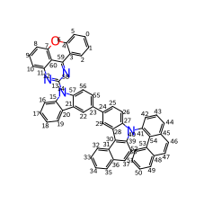 c1ccc2c(c1)Oc1cccc3nc(-n4c5ccccc5c5cc(-c6ccc7c(c6)c6c8ccccc8ccc6n7-c6cccc7ccc8ccccc8c67)ccc54)nc-2c13